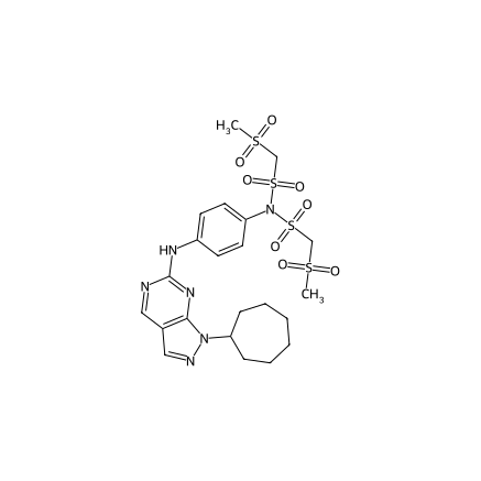 CS(=O)(=O)CS(=O)(=O)N(c1ccc(Nc2ncc3cnn(C4CCCCCC4)c3n2)cc1)S(=O)(=O)CS(C)(=O)=O